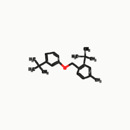 Cc1ccc(COc2cccc(C(C)(C)C)c2)c(C(C)(C)C)c1